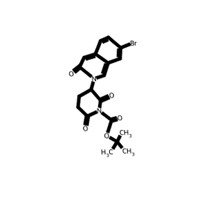 CC(C)(C)OC(=O)N1C(=O)CCC(n2cc3cc(Br)ccc3cc2=O)C1=O